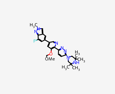 COCOc1cc(-c2cc(F)c3nn(C)cc3c2)cnc1-c1ccc(N2CC(C)(C)NC(C)(C)C2)nn1